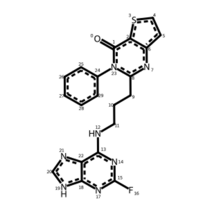 O=c1c2sccc2nc(CCCNc2nc(F)nc3[nH]cnc23)n1-c1ccccc1